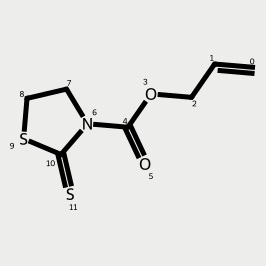 C=CCOC(=O)N1CCSC1=S